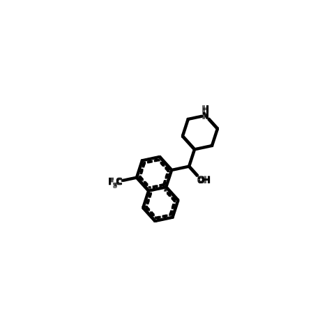 OC(c1ccc(C(F)(F)F)c2ccccc12)C1CCNCC1